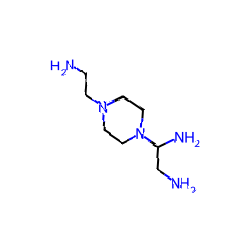 NCCN1CCN(C(N)CN)CC1